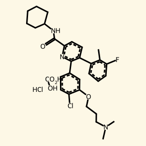 Cc1c(F)cccc1-c1ccc(C(=O)NC2CCCCC2)nc1-c1ccc(Cl)c(OCCCN(C)C)c1.Cl.O=C(O)O